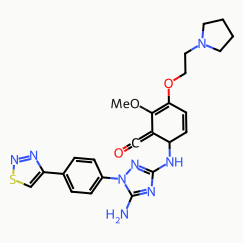 COC1=C(OCCN2CCCC2)C=CC(Nc2nc(N)n(-c3ccc(-c4csnn4)cc3)n2)C1=C=O